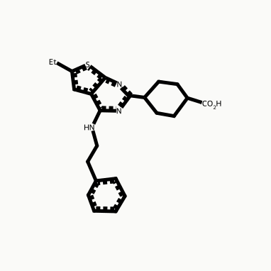 CCc1cc2c(NCCc3ccccc3)nc(C3CCC(C(=O)O)CC3)nc2s1